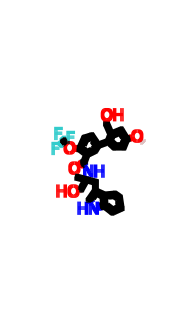 COc1ccc(-c2ccc(OC(F)(F)F)c(C(=O)NC(C)(CO)Cc3c[nH]c4ccccc34)c2)c(CO)c1